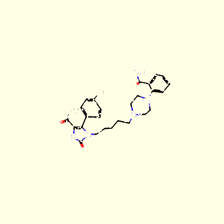 COC(=O)c1[nH]c(=O)n(CCCCCN2CCN(c3ccccc3C(N)=O)CC2)c1-c1ccc(C(F)(F)F)cc1